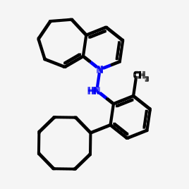 Cc1cccc(C2CCCCCCC2)c1NN1C=CC=C2CCCCC=C21